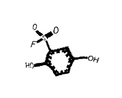 O=S(=O)(F)c1cc(O)ccc1O